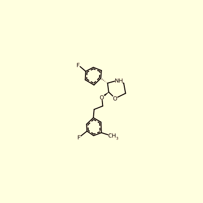 Cc1cc(F)cc(CCO[C@@H]2OCCN[C@H]2c2ccc(F)cc2)c1